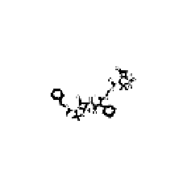 CC1(C)S[C@@H]2C(NC(=O)C(C(=O)OCOC(=O)[C@@H]3N4C(=O)C[C@H]4S(=O)(=O)C3(C)C)c3ccccc3)C(=O)N2[C@H]1C(=O)OCc1ccccc1